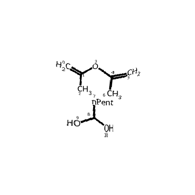 C=C(C)OC(=C)C.CCCCCC(O)O